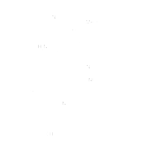 COc1cccc2c1c(=O)c1c3c(c(CN(CCO)CCO)[nH]n32)C=CC1(N)CCN(C)C